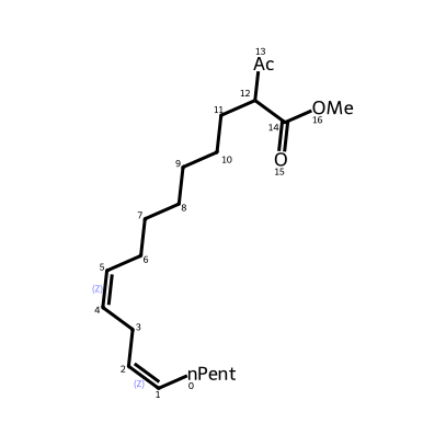 CCCCC/C=C\C/C=C\CCCCCCC(C(C)=O)C(=O)OC